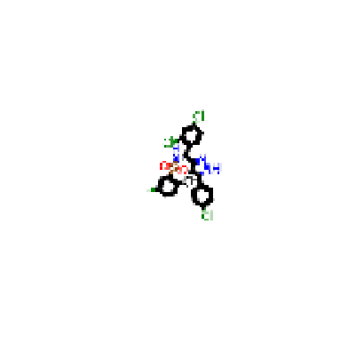 Cc1ccc(F)cc1S(=O)(=O)N[C@@H](C1=NNC(c2ccc(Cl)cc2)C1)c1ccc(Cl)cc1Cl